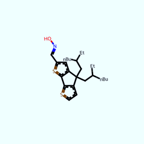 CCCCC(CC)CC1(CC(CC)CCCC)c2ccsc2-c2sc(/C=N/O)cc21